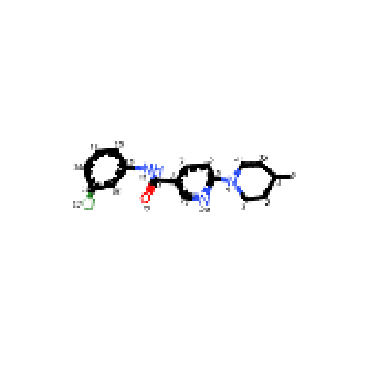 CC1CCN(c2ccc(C(=O)Nc3cccc(Cl)c3)cn2)CC1